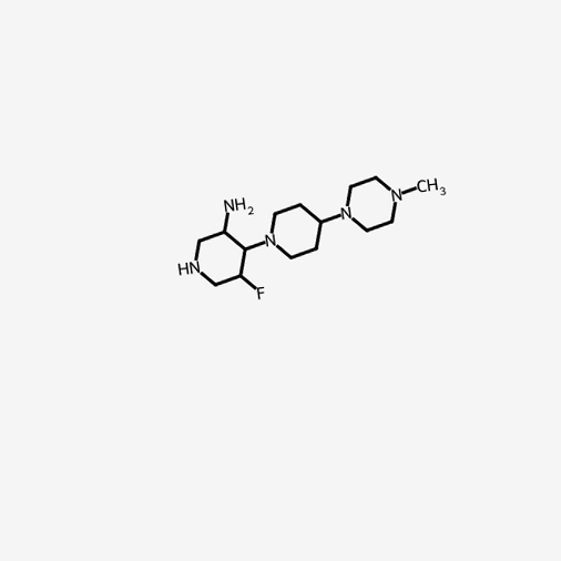 CN1CCN(C2CCN(C3C(N)CNCC3F)CC2)CC1